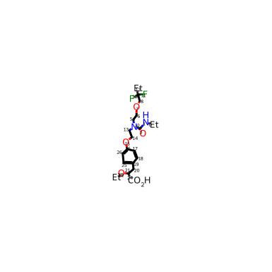 CCNC(=O)N(CCOCC(F)(F)CC)CCOc1ccc(CC(OCC)C(=O)O)cc1